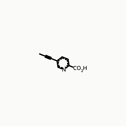 CC#Cc1ccc(C(=O)O)nc1